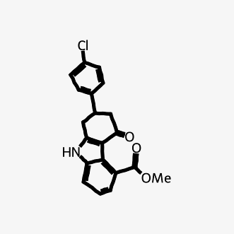 COC(=O)c1cccc2[nH]c3c(c12)C(=O)CC(c1ccc(Cl)cc1)C3